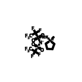 CCCCCC[N+]1(C)CCCC1.O=S(=O)([N-]S(=O)(=O)C(F)(F)C(F)(F)F)C(F)(F)C(F)(F)F